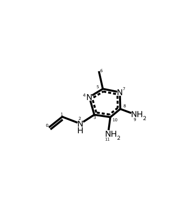 C=CNc1nc(C)nc(N)c1N